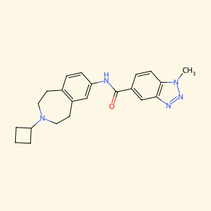 Cn1nnc2cc(C(=O)Nc3ccc4c(c3)CCN(C3CCC3)CC4)ccc21